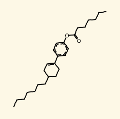 CCCCCCCC1CC=C(c2ccc(OC(=O)CCCCCC)cc2)CC1